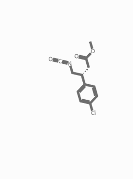 COC(=O)C[C@@H](CN=C=O)c1ccc(Cl)cc1